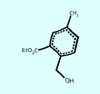 CCOC(=O)c1cc(C)ccc1CO